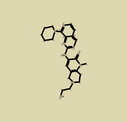 Cn1c2c(cc(Nc3ncc4ccnc(N5CCCCC5)c4n3)c1=O)CN(CCO)CC2